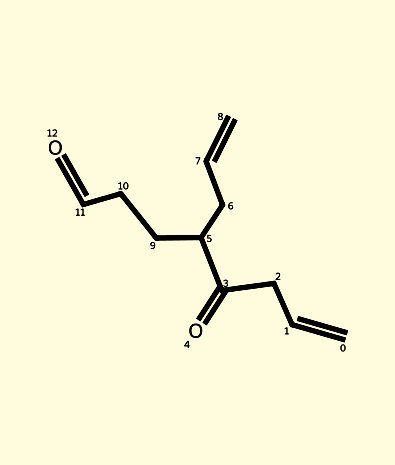 C=CCC(=O)C(CC=C)CCC=O